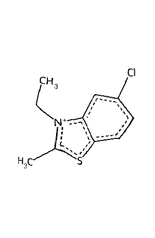 CC[n+]1c(C)sc2ccc(Cl)cc21